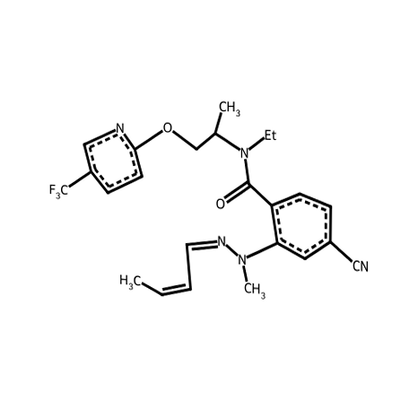 C/C=C\C=N/N(C)c1cc(C#N)ccc1C(=O)N(CC)C(C)COc1ccc(C(F)(F)F)cn1